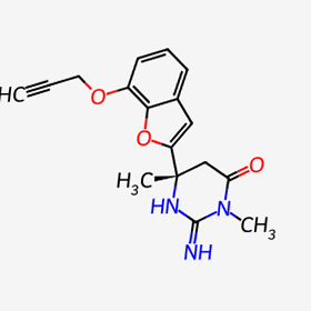 C#CCOc1cccc2cc([C@]3(C)CC(=O)N(C)C(=N)N3)oc12